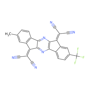 Cc1ccc2c(c1)C(=C(C#N)C#N)c1nc3c(nc1-2)C(=C(C#N)C#N)c1cc(C(F)(F)F)ccc1-3